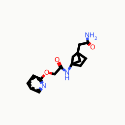 NC(=O)CC12CCC(NC(=O)COc3ccccn3)(C1)C2